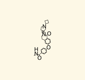 CNC(=O)c1ccc(Oc2ccc3c(c2)CCN([C@@H]2CCN(C4CCC4)C2)C3=O)cc1